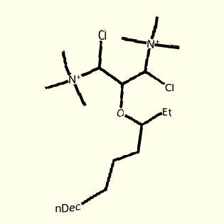 CCCCCCCCCCCCCC(CC)OC(C(Cl)[N+](C)(C)C)C(Cl)[N+](C)(C)C